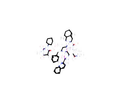 CC(C)(C)NC(=O)[C@@H]1C[C@@H]2CCCC[C@@H]2CN1C[C@@H](O)[C@H](Cc1ccccc1)NC(=O)[C@H](CC(N)=O)NC(=O)c1ccc2ccccc2n1.CCCCC1C(=O)NC(=O)N(C2CCCCC2)C1=O